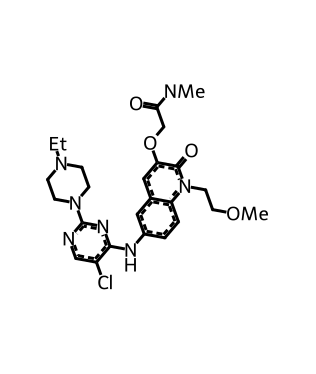 CCN1CCN(c2ncc(Cl)c(Nc3ccc4c(c3)cc(OCC(=O)NC)c(=O)n4CCOC)n2)CC1